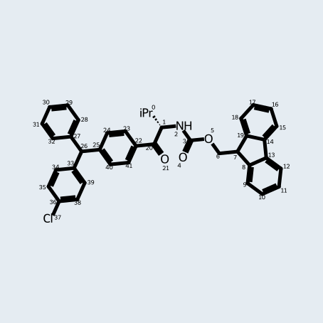 CC(C)[C@H](NC(=O)OCC1c2ccccc2-c2ccccc21)C(=O)c1ccc([C](c2ccccc2)c2ccc(Cl)cc2)cc1